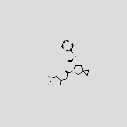 CCCCC(CC(=O)N1CC2(CC2)C[C@H]1C(=O)Nc1cnccn1)CN(O)C=O